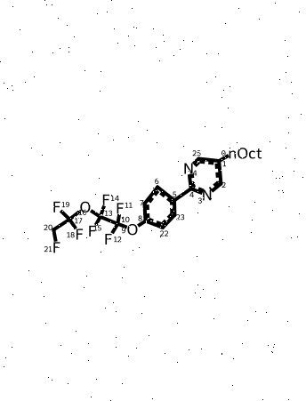 CCCCCCCCc1cnc(-c2ccc(OC(F)(F)C(F)(F)OC(F)(F)CF)cc2)nc1